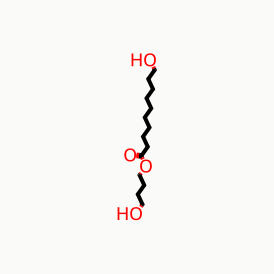 O=C(CCCCCCCCCO)OCCCCO